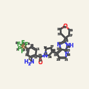 Nc1cc(S(F)(F)(F)(F)F)ccc1C(=O)N1CCC(c2ccnc3[nH]c(C4CCOCC4)nc23)C1